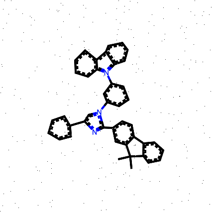 CC1(C)c2ccccc2-c2ccc(-c3nc(-c4ccccc4)cn3-c3cccc(-n4c5ccccc5c5ccccc54)c3)cc21